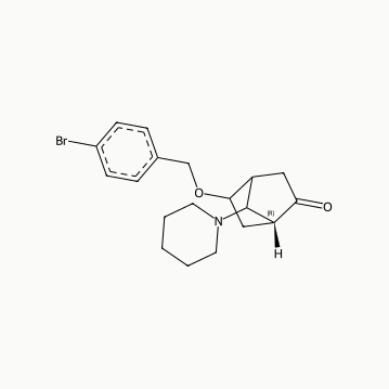 O=C1CC2C(OCc3ccc(Br)cc3)C[C@@H]1C2N1CCCCC1